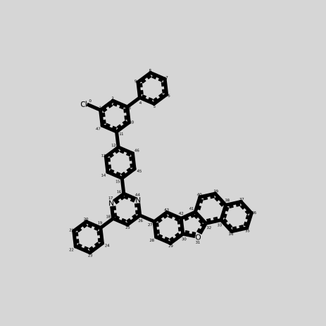 Clc1cc(-c2ccccc2)cc(-c2ccc(-c3nc(-c4ccccc4)cc(-c4ccc5oc6c7ccccc7ccc6c5c4)n3)cc2)c1